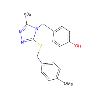 CCCCc1nnc(SCc2ccc(OC)cc2)n1Cc1ccc(O)cc1